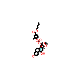 CCCCCOC(=O)c1ccc(OC(=O)OCC(=O)[C@@]23OC(C)(C)O[C@@H]2CC2C4CCC5=CC(=O)C=C[C@]5(C)[C@@]4(F)[C@@H](O)C[C@@]23C)c(C)c1